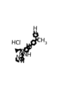 CN(C1CCNCC1)C1CCC(n2cc3cc(NC(=O)c4cnn5cccnc45)c(OCC4CC4)cc3n2)CC1.Cl